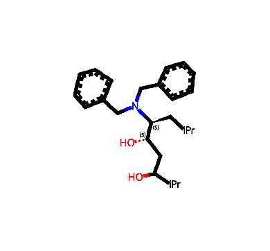 CC(C)C[C@@H]([C@@H](O)CC(O)C(C)C)N(Cc1ccccc1)Cc1ccccc1